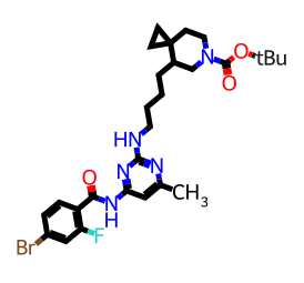 Cc1cc(NC(=O)c2ccc(Br)cc2F)nc(NCCCCC2CN(C(=O)OC(C)(C)C)CCC23CC3)n1